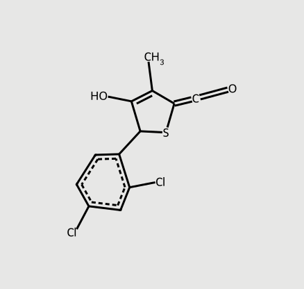 CC1=C(O)C(c2ccc(Cl)cc2Cl)SC1=C=O